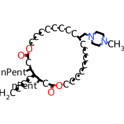 C=C=C=C=C1C(CCCCC)CC(=O)OCCCCCCCCC(CN2CCN(C)CC2)CCCCCCCCOC(=O)CC1CCCCC